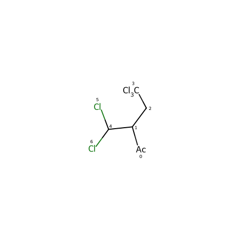 CC(=O)C(CC(Cl)(Cl)Cl)C(Cl)Cl